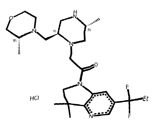 CCC(F)(F)c1cnc2c(c1)N(C(=O)CN1C[C@@H](C)NC[C@@H]1CN1CCOC[C@H]1C)CC2(C)C.Cl